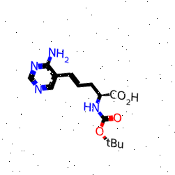 CC(C)(C)OC(=O)N[C@@H](CC=Cc1cncnc1N)C(=O)O